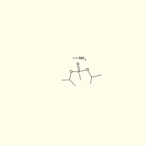 CC(C)OP(C)(=O)OC(C)C.CN